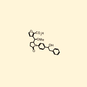 COC(c1ccoc1C(=O)O)C1CCC(=O)N1c1ccc(C(O)Cc2ccccc2)cc1